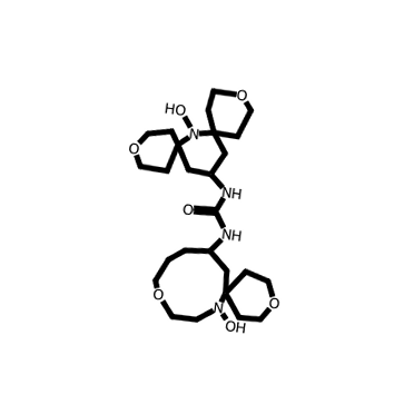 O=C(NC1CCCOCCN(O)C2(CCOCC2)C1)NC1CC2(CCOCC2)N(O)C2(CCOCC2)C1